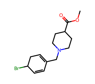 COC(=O)C1CCN(CC2=CCC(Br)C=C2)CC1